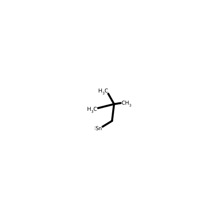 CC(C)(C)[CH2][Sn]